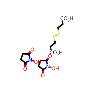 O=C(O)CCSSCCC(=O)O.O=C1CCC(=O)N1O.O=C1CCC(=O)N1O